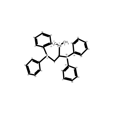 [CH3][Pd]([CH3])[CH](CP(c1ccccc1)c1ccccc1)P(c1ccccc1)c1ccccc1